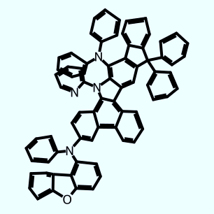 c1ccc(N(c2ccc3c(c2)c2ccccc2c2c4cc5c(c(N(c6ccccc6)c6ccccc6)c4n(-c4ccccn4)c32)-c2ccccc2C5(c2ccccc2)c2ccccc2)c2cccc3oc4ccccc4c23)cc1